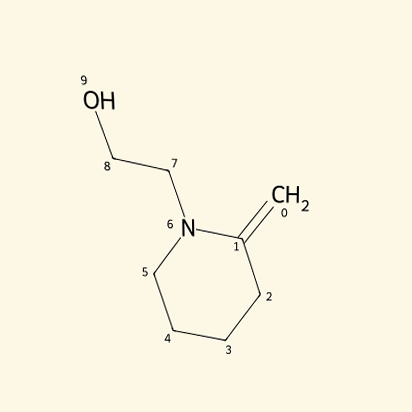 C=C1CCCCN1CCO